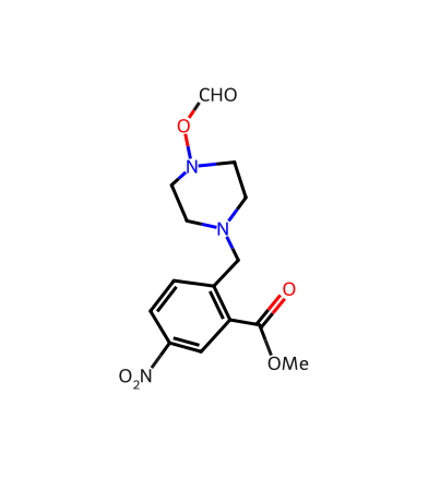 COC(=O)c1cc([N+](=O)[O-])ccc1CN1CCN(OC=O)CC1